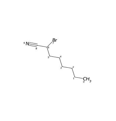 CCCCCCC(Br)C#N